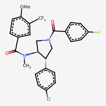 COc1ccc(C(=O)N(C)[C@H]2CN(C(=O)c3ccc(F)cc3)C[C@@H]2c2ccc(Cl)cc2)cc1C(F)(F)F